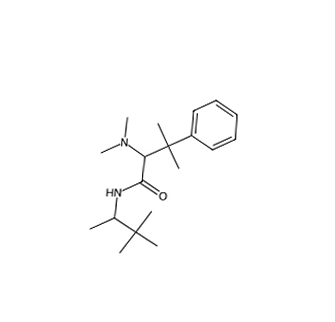 CC(NC(=O)C(N(C)C)C(C)(C)c1ccccc1)C(C)(C)C